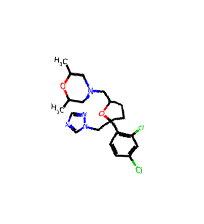 CC1CN(CC2CCC(Cn3cncn3)(c3ccc(Cl)cc3Cl)O2)CC(C)O1